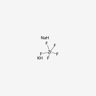 [F][Zr]([F])([F])([F])[F].[KH].[NaH]